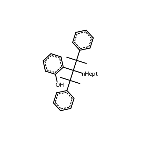 CCCCCCCC(c1ccccc1O)(C(C)(C)c1ccccc1)C(C)(C)c1ccccc1